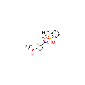 Cc1ccccc1S(=O)(=O)NC(=O)c1ccc(C(=O)C(F)(F)F)s1